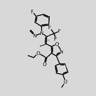 C=NN(/C(=C(\C)c1onc(-c2ccc(OC)cc2)c1C(=O)OCC)C(F)(F)F)c1cccc(F)c1